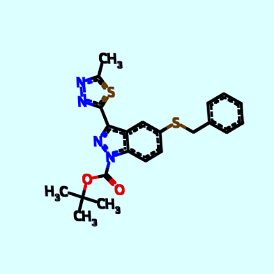 Cc1nnc(-c2nn(C(=O)OC(C)(C)C)c3ccc(SCc4ccccc4)cc23)s1